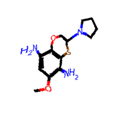 COc1cc(N)c2c(c1N)SC(N1CCCC1)CO2